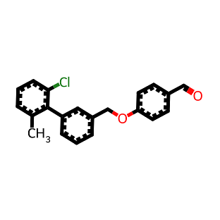 Cc1cccc(Cl)c1-c1cccc(COc2ccc(C=O)cc2)c1